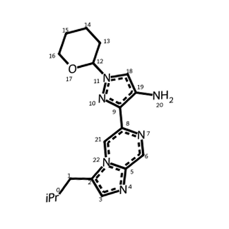 CC(C)Cc1cnc2cnc(-c3nn(C4CCCCO4)cc3N)cn12